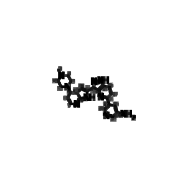 CN1CCN(c2ccnc3[nH]c(-c4n[nH]c5ccc(-c6cncc(N)c6)nc45)cc23)CC1